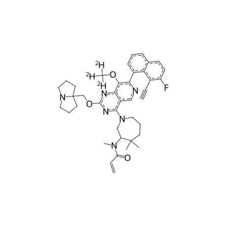 [2H]C([2H])([2H])Oc1c(-c2cccc3ccc(F)c(C#C)c23)ncc2c(N3CCCC(C)(C)C(N(C)C(=O)C=C)C3)nc(OCC34CCCN3CCC4)nc12